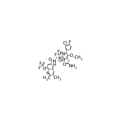 CCOc1c(CC(N)=O)cc([C@@](O)(CNC(=O)c2cc(OC(F)(F)F)c3nc(C)c(C)cc3c2)C(F)(F)F)nc1-c1ccc(F)c(Cl)c1